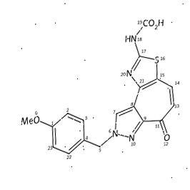 COc1ccc(Cn2cc3c(n2)c(=O)ccc2sc(NC(=O)O)nc23)cc1